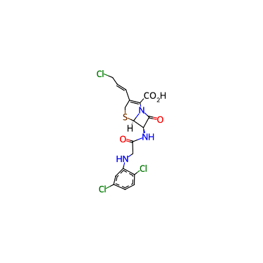 O=C(CNc1cc(Cl)ccc1Cl)N[C@@H]1C(=O)N2C(C(=O)O)=C(/C=C/CCl)CS[C@H]12